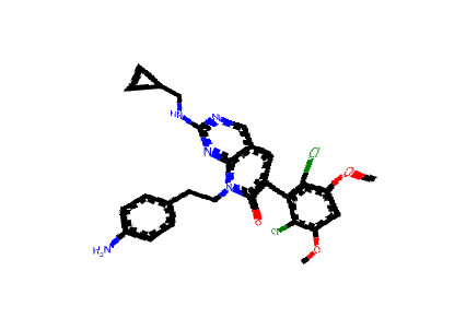 COc1cc(OC)c(Cl)c(-c2cc3cnc(NCC4CC4)nc3n(CCc3ccc(N)cc3)c2=O)c1Cl